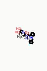 CC(C)(C)[C@H](NC(=O)c1nn(Cc2ccc(F)cc2)c2ccccc12)C(=O)N1C[C@@H](O)[C@H](O)C1